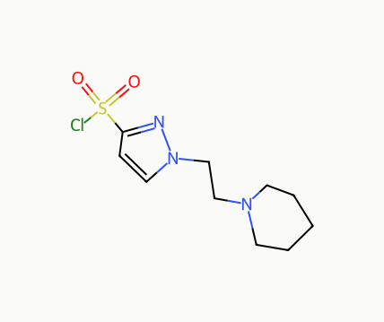 O=S(=O)(Cl)c1ccn(CCN2CCCCC2)n1